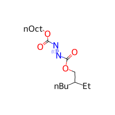 CCCCCCCCOC(=O)/N=N/C(=O)OCC(CC)CCCC